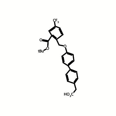 CC(C)(C)OC(=O)c1cc(C(F)(F)F)ccc1COc1ccc(-c2ccc(CC(=O)O)cc2)cc1